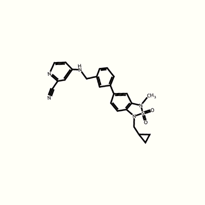 CN1c2cc(-c3cccc(CNc4ccnc(C#N)c4)c3)ccc2N(CC2CC2)S1(=O)=O